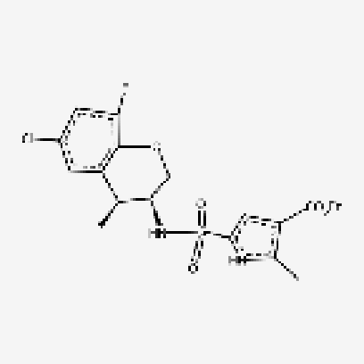 CCOC(=O)c1cc(S(=O)(=O)N[C@@H]2COc3c(F)cc(Cl)cc3[C@@H]2C)[nH]c1C